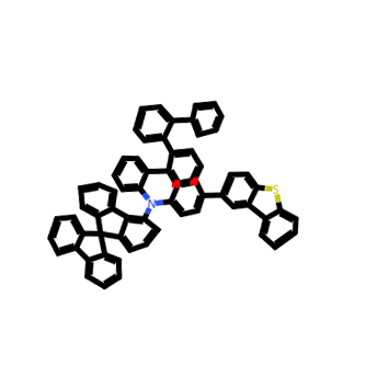 c1ccc(-c2ccccc2-c2ccccc2-c2ccccc2N(c2ccc(-c3ccc4sc5ccccc5c4c3)cc2)c2cccc3c2-c2ccccc2C32c3ccccc3-c3ccccc32)cc1